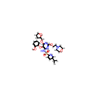 COc1ccccc1Oc1c(NS(=O)(=O)c2ccc(C(C)C)cn2)nc(OCCN2CCOCC2)nc1OCC1CCCO1